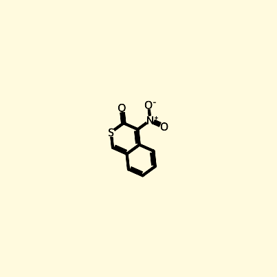 O=c1scc2ccccc2c1[N+](=O)[O-]